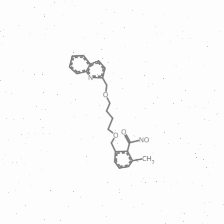 Cc1cccc(COCCCCOCc2ccc3ccccc3n2)c1C(=O)N=O